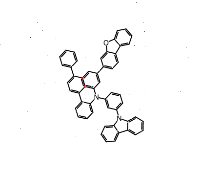 c1ccc(-c2ccc(-c3ccccc3N(c3cccc(-c4ccc5c(c4)oc4ccccc45)c3)c3cccc(-n4c5ccccc5c5ccccc54)c3)cc2)cc1